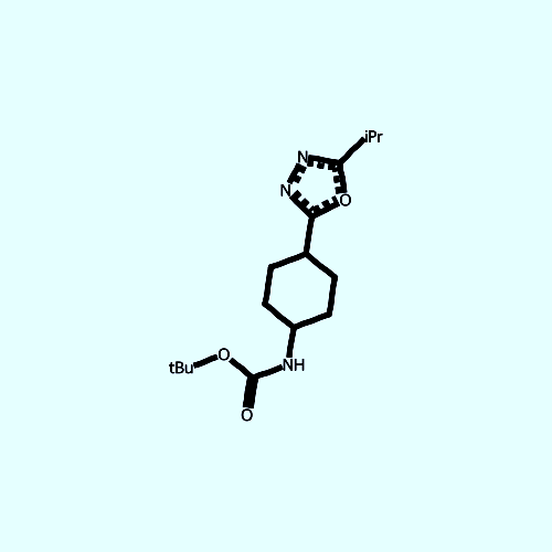 CC(C)c1nnc(C2CCC(NC(=O)OC(C)(C)C)CC2)o1